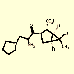 CC1(C)[C@@H]2[C@@H](C(=O)O)N(C(=O)C(N)CN3CCCC3)C[C@@H]21